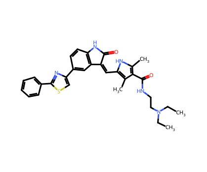 CCN(CC)CCNC(=O)c1c(C)[nH]c(/C=C2\C(=O)Nc3ccc(-c4csc(-c5ccccc5)n4)cc32)c1C